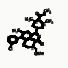 C=CC(=O)N1[C@H](C)CN(c2nc(=O)n3c4c(c(-c5cccc(Cl)c5)c(C)cc24)SC[C@@H]3COC)C[C@@H]1C